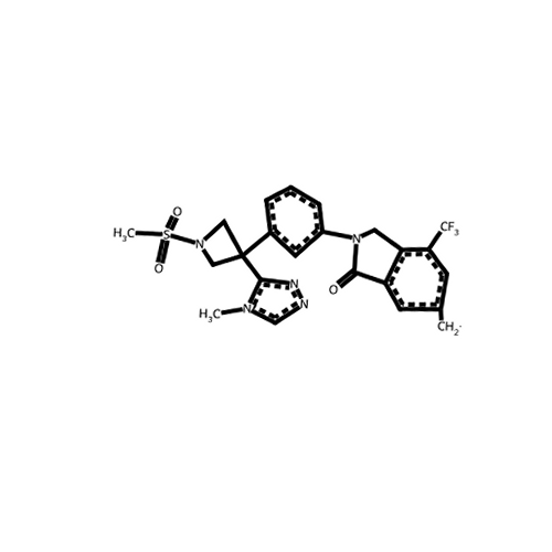 [CH2]c1cc2c(c(C(F)(F)F)c1)CN(c1cccc(C3(c4nncn4C)CN(S(C)(=O)=O)C3)c1)C2=O